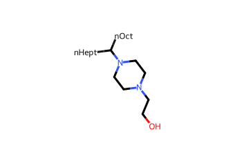 CCCCCCCCC(CCCCCCC)N1CCN(CCO)CC1